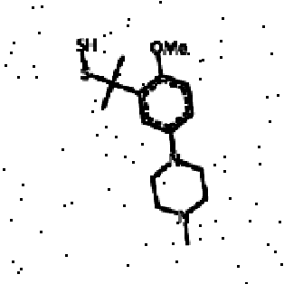 COc1ccc(N2CCN(C)CC2)cc1C(C)(C)SS